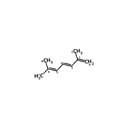 C=C(C)C=CC=C(C)C